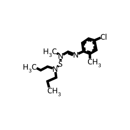 CCCN(CCC)SN(C)C=Nc1ccc(Cl)cc1C